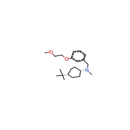 COCCOc1cccc(CN(C)[C@H]2CC[C@@H](C(C)(C)C)CC2)c1